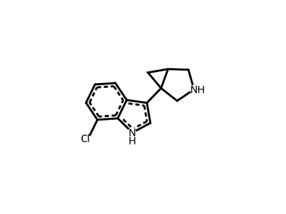 Clc1cccc2c(C34CNCC3C4)c[nH]c12